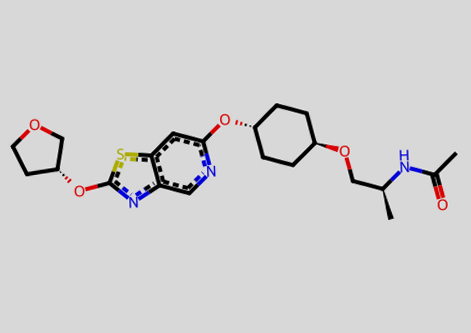 CC(=O)N[C@@H](C)CO[C@H]1CC[C@H](Oc2cc3sc(O[C@@H]4CCOC4)nc3cn2)CC1